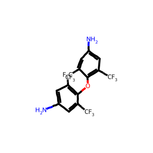 Nc1cc(C(F)(F)F)c(Oc2c(C(F)(F)F)cc(N)cc2C(F)(F)F)c(C(F)(F)F)c1